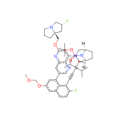 COCOc1cc(-c2cnc3c(N4C[C@H]5CC[C@@H](C4)N5C(=O)OC(C)(C)C)cc(OC[C@@]45CCCN4C[C@H](F)C5)nc3c2)c2c(C#C[Si](C(C)C)(C(C)C)C(C)C)c(F)ccc2c1